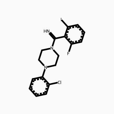 N=C(c1c(F)cccc1I)N1CCN(c2ccccc2Cl)CC1